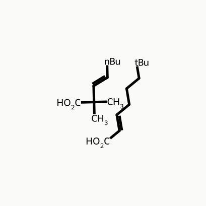 CC(C)(C)CCCC=CC(=O)O.CCCCC=CC(C)(C)C(=O)O